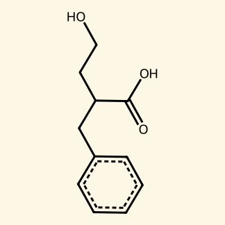 O=C(O)C(CCO)Cc1ccccc1